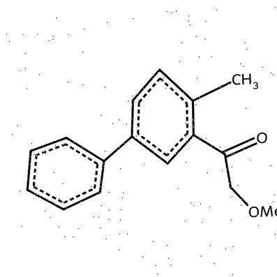 COCC(=O)c1cc(-c2ccccc2)ccc1C